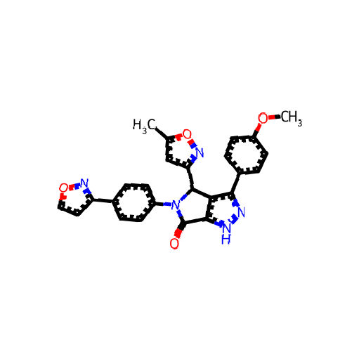 COc1ccc(-c2n[nH]c3c2C(c2cc(C)on2)N(c2ccc(-c4ccon4)cc2)C3=O)cc1